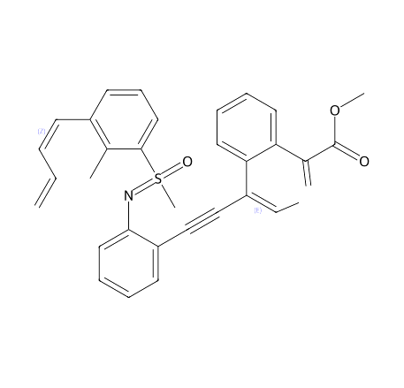 C=C/C=C\c1cccc(S(C)(=O)=Nc2ccccc2C#C/C(=C/C)c2ccccc2C(=C)C(=O)OC)c1C